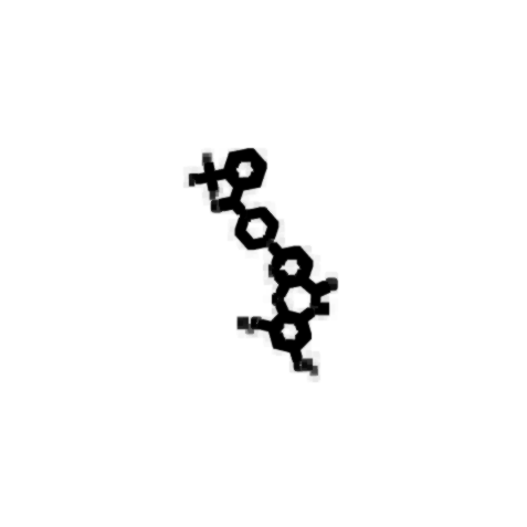 Cc1cc(C)c2c(c1)NC(=O)c1ccc(N3CCN(C(=O)c4ccccc4C(F)(F)F)CC3)nc1O2